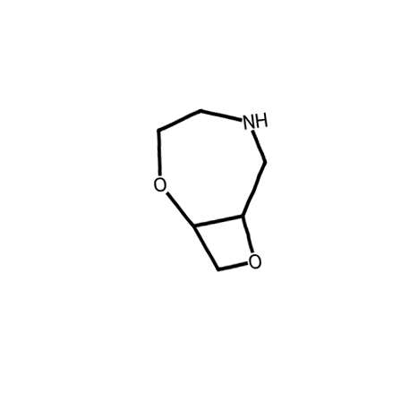 C1COC2COC2CN1